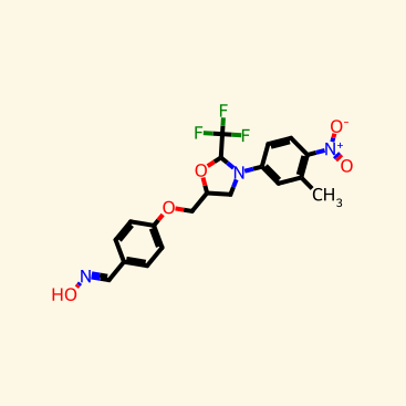 Cc1cc(N2CC(COc3ccc(C=NO)cc3)OC2C(F)(F)F)ccc1[N+](=O)[O-]